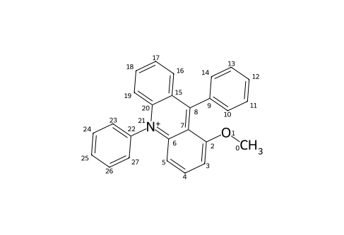 COc1cccc2c1c(-c1ccccc1)c1ccccc1[n+]2-c1ccccc1